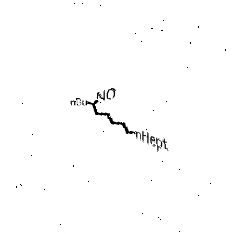 CCCCCCCCCCCCC(CCCC)N=O